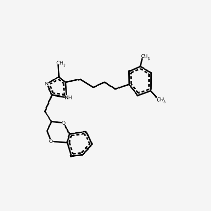 Cc1cc(C)cc(CCCCc2[nH]c(CC3COc4ccccc4O3)nc2C)c1